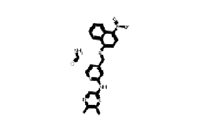 Cc1ncc(Nc2cc(COc3ccc([N+](=O)[O-])c4ccccc34)ccn2)nc1C.NC=O